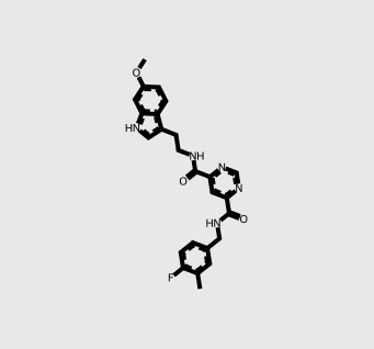 COc1ccc2c(CCNC(=O)c3cc(C(=O)NCc4ccc(F)c(C)c4)ncn3)c[nH]c2c1